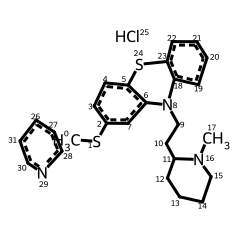 CSc1ccc2c(c1)N(CCC1CCCCN1C)c1ccccc1S2.Cl.c1ccncc1